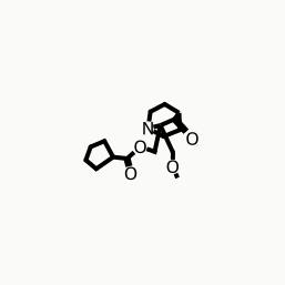 COCC1(COC(=O)C2CCCC2)C(=O)C2CCN1CC2